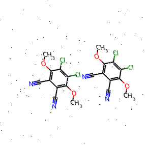 COc1c(Cl)c(Cl)c(OC)c(C#N)c1C#N.COc1c(Cl)c(Cl)c(OC)c(C#N)c1C#N